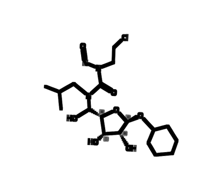 CC(C)CN(C(=O)N(CCCl)N=O)C(O)[C@@H]1O[C@@H](OC2CCCCC2)[C@H](O)[C@@H]1O